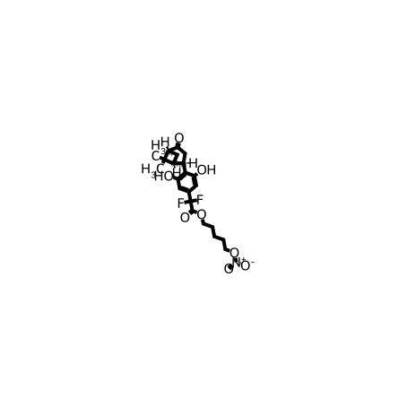 CC1(C)[C@H]2C[C@H]1[C@H](c1c(O)cc(C(F)(F)C(=O)OCCCCCO[N+](=O)[O-])cc1O)CC2=O